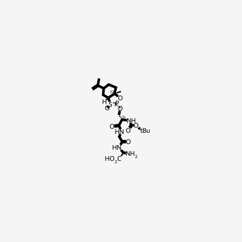 C=C(C)C1CC[C@]2(C)O[P@](OC[C@H](NC(=O)OC(C)(C)C)C(=O)NCC(=O)N[C@@H](N)C(=O)O)[S+]([O-])[C@H]2C1